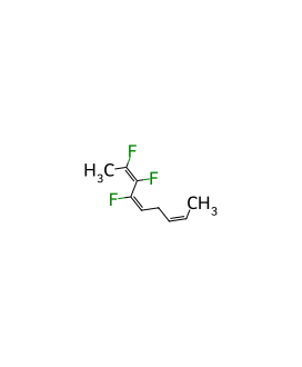 C/C=C\C/C=C(F)\C(F)=C(/C)F